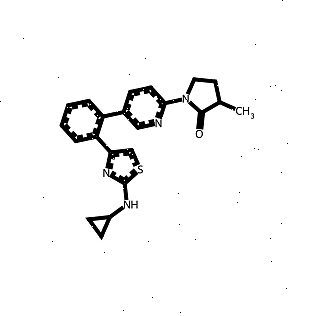 CC1CCN(c2ccc(-c3ccccc3-c3csc(NC4CC4)n3)cn2)C1=O